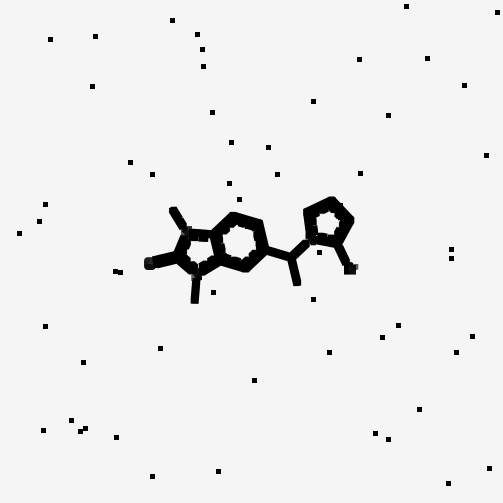 CC(c1ccc2c(c1)n(C)c(=O)n2C)n1cccc1Br